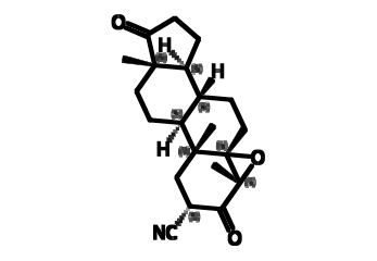 C[C@]12CC[C@H]3[C@@H](CC[C@@]45O[C@]4(C)C(=O)[C@H](C#N)C[C@]35C)[C@@H]1CCC2=O